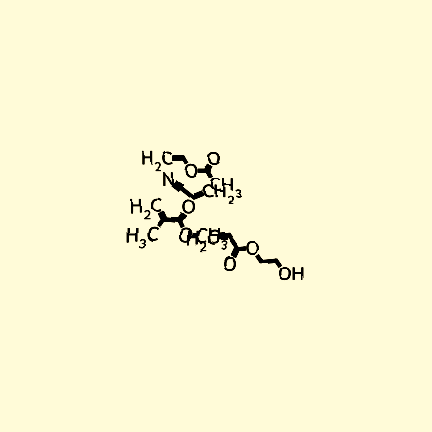 C=C(C)C(=O)OC.C=CC#N.C=CC(=O)OCCO.C=COC(C)=O